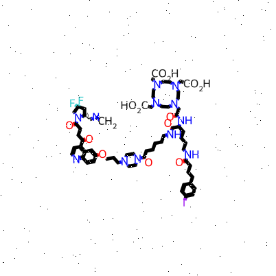 C=NC[C@H]1CC(F)(F)CN1C(=O)CCC(=O)c1ccnc2ccc(OCCCN3CCN(C(=O)CCCCCNC(=O)C(CCCCNC(=O)CCCc4ccc(I)cc4)NC(=O)CN4CCN(CC(=O)O)CCN(CC(=O)O)CCN(CC(=O)O)CC4)CC3)cc12